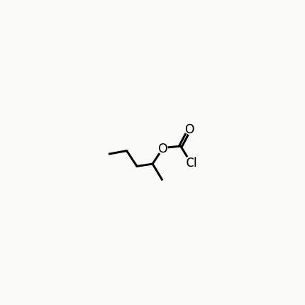 CCCC(C)OC(=O)Cl